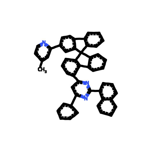 Cc1ccnc(-c2ccc3c(c2)C2(c4ccccc4-3)c3ccccc3-c3c(-c4cc(-c5ccccc5)nc(-c5cccc6ccccc56)n4)cccc32)c1